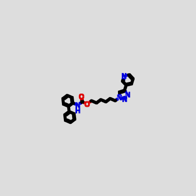 O=C(Nc1ccccc1-c1ccccc1)OCCCCCCn1cc(-c2cccnc2)nn1